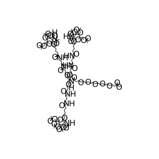 COC(=O)CCOCCOCCOCCOCCOCCC(=O)NC(COCCC(=O)NCCCNC(=O)CCCCOC1OC(COC(C)=O)C(OC(C)=O)C(OC(C)=O)C1NC(C)=O)(COCCC(=O)NCCCNC(=O)CCCCOC1OC(COC(C)=O)C(OC(C)=O)C(OC(C)=O)C1NC(C)=O)COCCC(=O)NCCCNC(=O)CCCCOC1OC(COC(C)=O)C(OC(C)=O)C(OC(C)=O)C1NC(C)=O